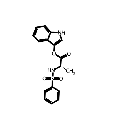 C[C@H](NS(=O)(=O)c1ccccc1)C(=O)Oc1c[nH]c2ccccc12